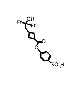 CCC(O)(CC)CC1CC(C(=O)Oc2ccc(S(=O)(=O)O)cc2)C1